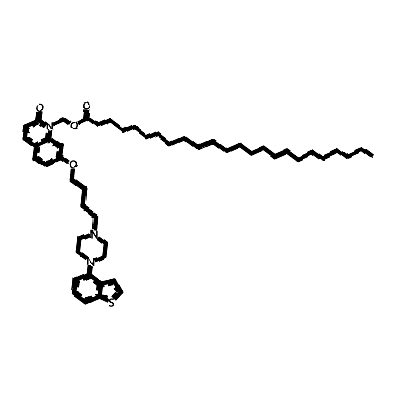 CCCCCCCCCCCCCCCCCCCCCCCC(=O)OCn1c(=O)ccc2ccc(OCCCCN3CCN(c4cccc5sccc45)CC3)cc21